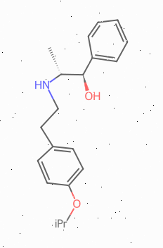 CC(C)Oc1ccc(CCN[C@H](C)[C@H](O)c2ccccc2)cc1